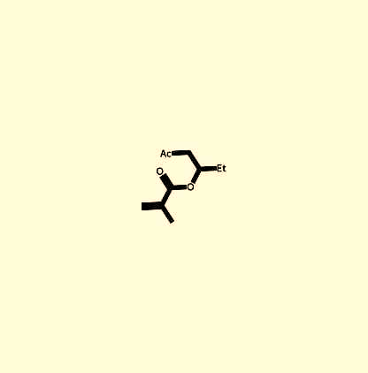 C=C(C)C(=O)OC(CC)CC(C)=O